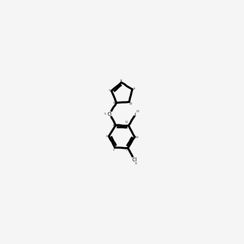 Clc1ccc(OC2C=CCC2)c(I)c1